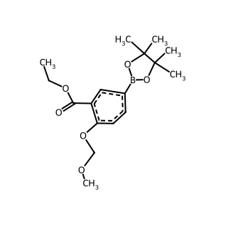 CCOC(=O)c1cc(B2OC(C)(C)C(C)(C)O2)ccc1OCOC